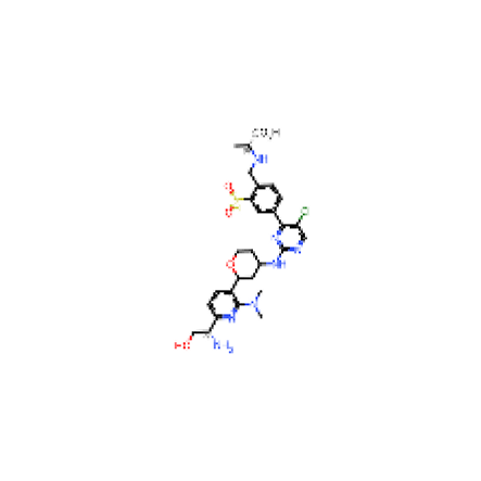 C[C@@H](NCc1ccc(-c2nc(NC3CCOC(c4ccc([C@H](N)CO)nc4N(C)C)C3)ncc2Cl)cc1[SH](=O)=O)C(=O)O